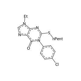 CCCCCSc1nc2c(ncn2CC)c(=O)n1-c1ccc(Cl)cc1